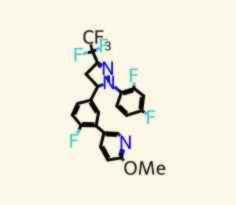 COc1ccc(-c2cc(C3CC(C(F)(F)C(F)(F)F)=NN3c3ccc(F)cc3F)ccc2F)cn1